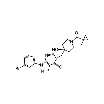 CC1(C(=O)N2CCC(O)(Cn3cnc4c(cnn4-c4cccc(Br)c4)c3=O)CC2)CC1